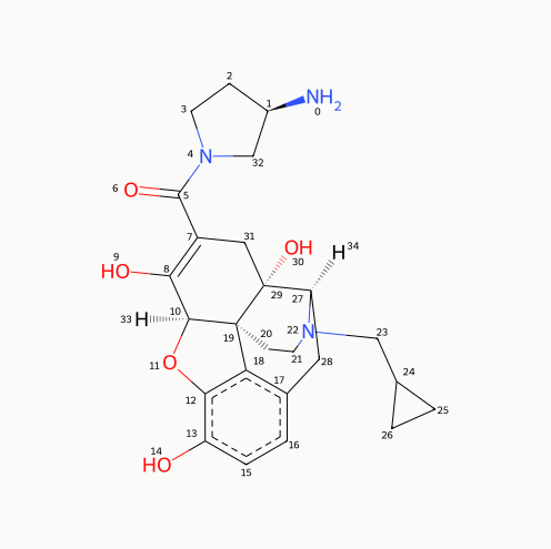 N[C@@H]1CCN(C(=O)C2=C(O)[C@@H]3Oc4c(O)ccc5c4[C@@]34CCN(CC3CC3)[C@H](C5)[C@]4(O)C2)C1